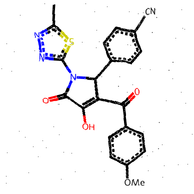 COc1ccc(C(=O)C2=C(O)C(=O)N(c3nnc(C)s3)C2c2ccc(C#N)cc2)cc1